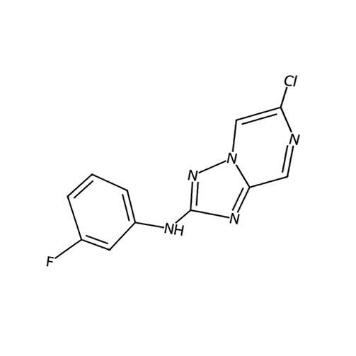 Fc1cccc(Nc2nc3cnc(Cl)cn3n2)c1